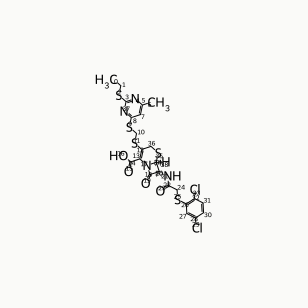 CCSc1nc(C)cc(SCSC2=C(C(=O)O)N3C(=O)[C@@H](NC(=O)CSc4cc(Cl)ccc4Cl)[C@H]3SC2)n1